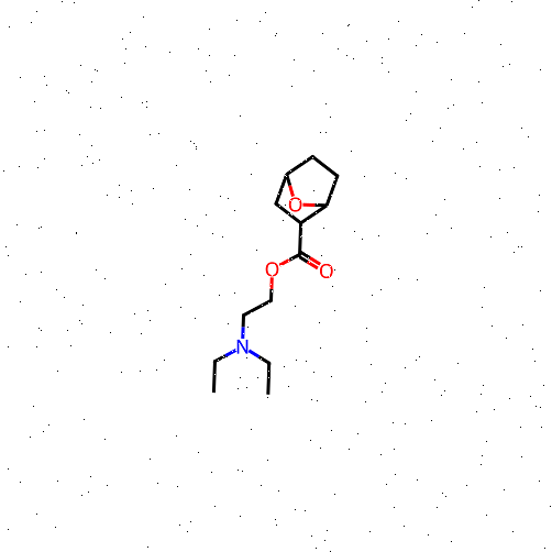 CCN(CC)CCOC(=O)C1CC2CCC1O2